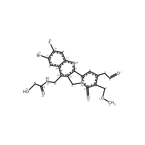 COCc1c(CC=O)cc2n(c1=O)Cc1c-2nc2cc(F)c(Br)cc2c1CNC(=O)CO